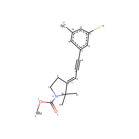 CC(C)(C)OC(=O)N1CC/C(=C\C#Cc2cc(F)cc(C#N)c2)C1(C)C